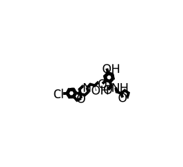 O=C(NCC1CCCO1)c1ccc(O)cc1OC[C@H](O)CN1CCC2(CC1)OCc1cc(Cl)ccc12